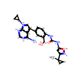 CC1(c2cc(NC(=O)Nc3ccc(-c4cn(C5CC5)c5ncnc(N)c45)cc3CO)on2)CC1